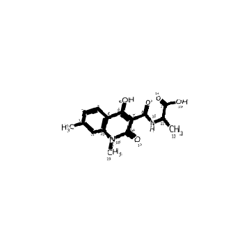 Cc1ccc2c(O)c(C(=O)NC(C)C(=O)O)c(=O)n(C)c2c1